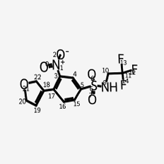 O=[N+]([O-])c1cc(S(=O)(=O)NCC(F)(F)F)ccc1C1=CCOC1